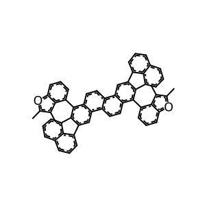 Cc1oc2cccc(-c3c4c(cc5c3ccc3c6cc7c(c(-c8cccc9oc(C)c(C)c89)c6ccc53)-c3cccc5cccc-7c35)-c3cccc5cccc-4c35)c2c1C